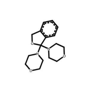 c1ccc2c(c1)COC2(N1CCOCC1)N1CCOCC1